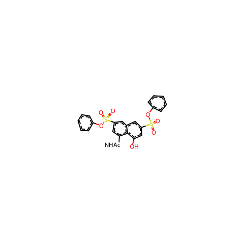 CC(=O)Nc1cc(S(=O)(=O)Oc2ccccc2)cc2cc(S(=O)(=O)Oc3ccccc3)cc(O)c12